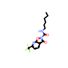 CCCCCCNC(=O)n1oc2nc(C(F)(F)F)ccc2c1=O